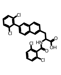 O=C(NC(Cc1ccc2cc(-c3c(Cl)cccc3Cl)ccc2c1)C(=O)O)c1c(Cl)cccc1Cl